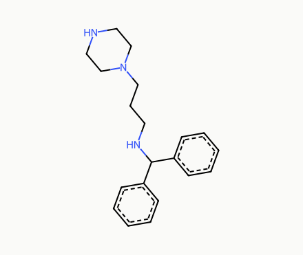 c1ccc(C(NCCCN2CCNCC2)c2ccccc2)cc1